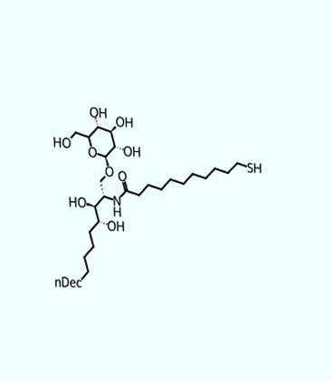 CCCCCCCCCCCCCC[C@@H](O)[C@@H](O)[C@H](CO[C@H]1OC(CO)[C@H](O)[C@@H](O)[C@@H]1O)NC(=O)CCCCCCCCCCS